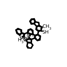 Cc1sc2ccccc2c1-c1cccc(-c2c(C3=C(N)C(C)C4=C3CCC=C4)cccc2-c2cc3c(c(C)c2S)Cc2ccccc2-3)c1C